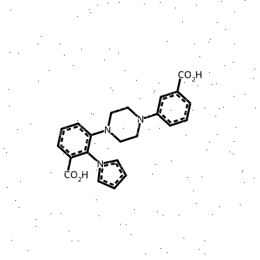 O=C(O)c1cccc(N2CCN(c3cccc(C(=O)O)c3-n3cccc3)CC2)c1